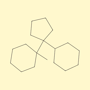 CC1(C2(C3CCCCC3)CCCC2)CCCCC1